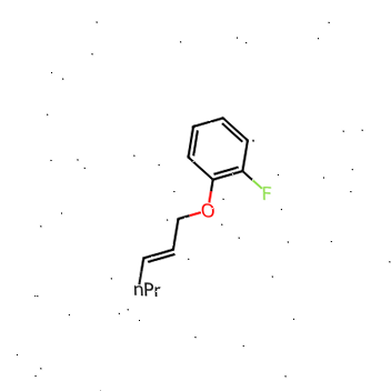 CCCC=CCOc1ccc[c]c1F